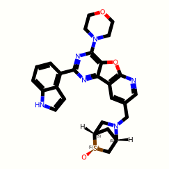 [O-][S@+]1C[C@@H]2C[C@H]1CN2Cc1cnc2oc3c(N4CCOCC4)nc(-c4cccc5[nH]ccc45)nc3c2c1